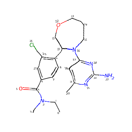 CCN(C)C(=O)c1ccc(C2COCCCN2c2cc(C)nc(N)n2)c(Cl)c1